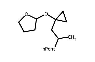 CCCCCC(C)CC1(OC2CCCO2)CC1